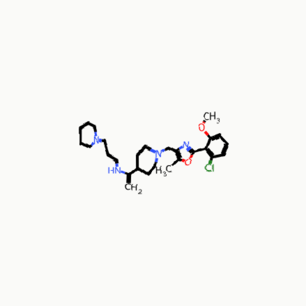 C=C(NCCCN1CCCCC1)C1CCN(Cc2nc(-c3c(Cl)cccc3OC)oc2C)CC1